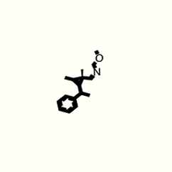 COC/N=C\[C@@]1(C)C(C)=C1C(C)c1ccccc1